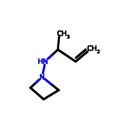 C=CC(C)NN1CCC1